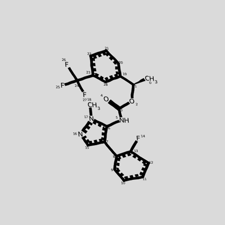 C[C@@H](OC(=O)Nc1c(-c2ccccc2F)cnn1C)c1cccc(C(F)(F)F)c1